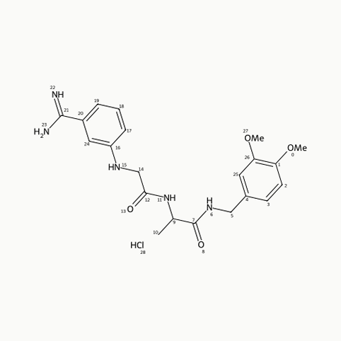 COc1ccc(CNC(=O)C(C)NC(=O)CNc2cccc(C(=N)N)c2)cc1OC.Cl